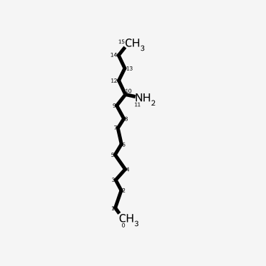 CCCCCCCCCCC(N)CCCC